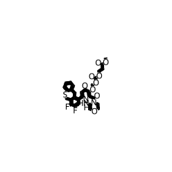 COC(=O)CCOC(=O)OCOc1c2n(c(-c3cc(F)c(F)c4c3Cc3ccccc3SC4)cc1=O)N[C@@H]1COCCN1C2=O